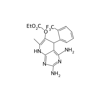 CCOC(=O)OC1=C(C)Nc2nc(N)nc(N)c2C1c1ccccc1C(F)(F)F